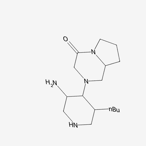 CCCCC1CNCC(N)C1N1CC(=O)N2CCCC2C1